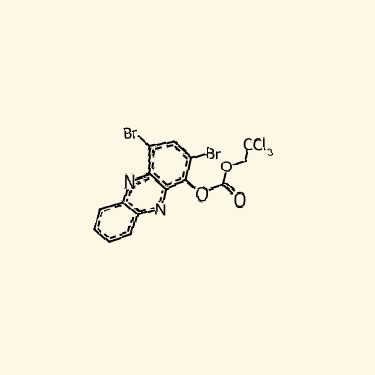 O=C(OCC(Cl)(Cl)Cl)Oc1c(Br)cc(Br)c2nc3ccccc3nc12